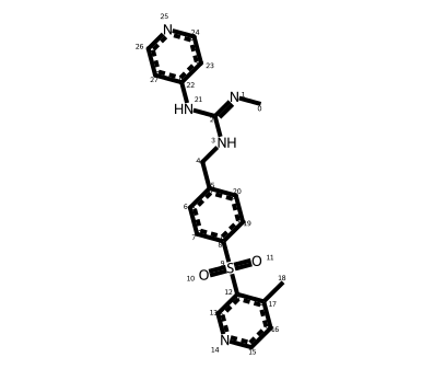 C/N=C(\NCc1ccc(S(=O)(=O)c2cnccc2C)cc1)Nc1ccncc1